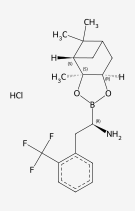 CC1(C)C2C[C@H]3OB([C@@H](N)Cc4ccccc4C(F)(F)F)O[C@@]3(C)[C@H]1C2.Cl